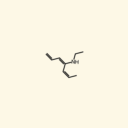 C=C/C=C(\C=C/C)NCC